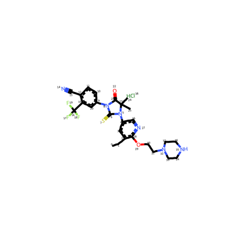 CCc1cc(N2C(=S)N(c3ccc(C#N)c(C(F)(F)F)c3)C(=O)C2(C)C)cnc1OCCN1CCNCC1.Cl